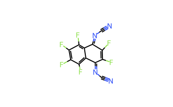 N#CN=C1C(F)=C(F)C(=NC#N)c2c(F)c(F)c(F)c(F)c21